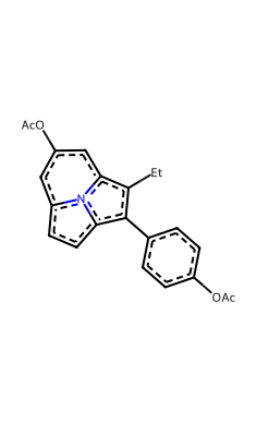 CCc1c(-c2ccc(OC(C)=O)cc2)c2ccc3cc(OC(C)=O)cc1n32